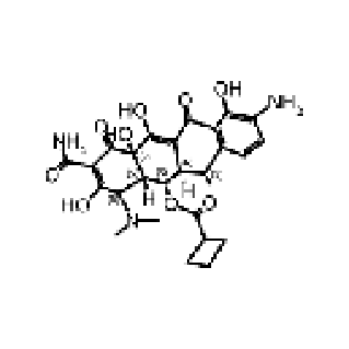 C[C@@H]1c2ccc(N)c(O)c2C(=O)C2=C(O)[C@@]3(O)C(=O)C(C(N)=O)=C(O)[C@H](N(C)C)[C@H]3[C@H](OC(=O)C3CCC3)[C@@H]21